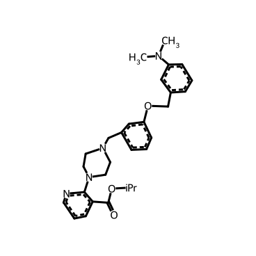 CC(C)OC(=O)c1cccnc1N1CCN(Cc2cccc(OCc3cccc(N(C)C)c3)c2)CC1